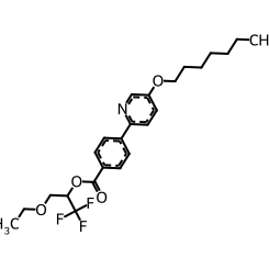 CCCCCCCOc1ccc(-c2ccc(C(=O)OC(COCC)C(F)(F)F)cc2)nc1